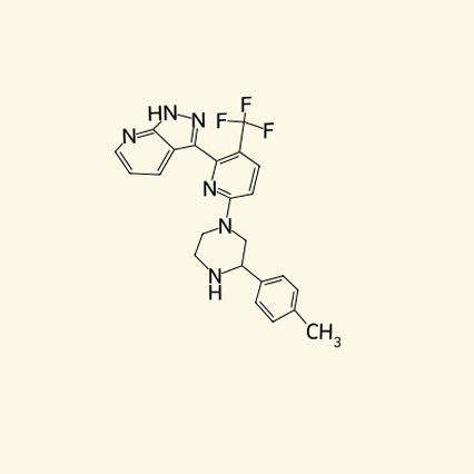 Cc1ccc(C2CN(c3ccc(C(F)(F)F)c(-c4n[nH]c5ncccc45)n3)CCN2)cc1